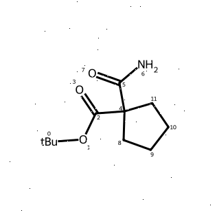 CC(C)(C)OC(=O)C1(C(N)=O)CCCC1